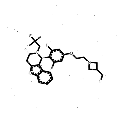 C[C@H]1Cc2oc3ccccc3c2[C@H](c2c(F)cc(OCCN3CC(CF)C3)cc2F)N1CC(C)(C)F